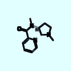 CN1CC[C@@H](N(C)C(=O)c2ccccn2)C1